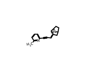 Cc1cccc(C#CC=C2CC3CCC(C2)N3)n1